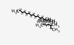 CCCCC(C)CC.CCCCCC.CCCCCCCC.CCCCCCCCCCCCCC